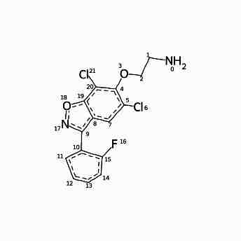 NCCOc1c(Cl)cc2c(-c3ccccc3F)noc2c1Cl